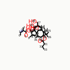 C/C=C(/C)C(=O)O[C@H]1C(C)=C[C@]23C(O)[C@@H](C=C(CO)[C@@H](O)[C@]12O)[C@@H]1C(C)(C)[C@]1(OC(=O)CCC)C[C@H]3C